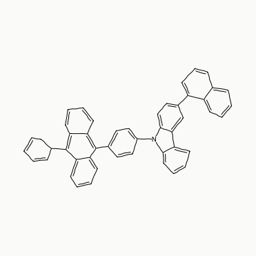 C1=CCC(c2c3ccccc3c(-c3ccc(-n4c5ccccc5c5cc(-c6cccc7ccccc67)ccc54)cc3)c3ccccc23)C=C1